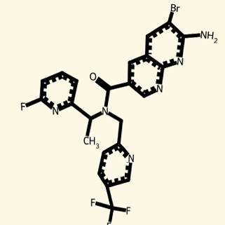 CC(c1cccc(F)n1)N(Cc1ccc(C(F)(F)F)cn1)C(=O)c1cnc2nc(N)c(Br)cc2c1